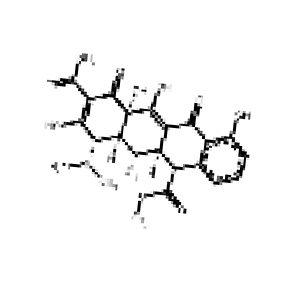 COC(=O)[C@@H]1c2cccc(O)c2C(=O)C2=C(O)[C@]3(O)C(=O)C(C(N)=O)=C(O)[C@@H](N(C)C)[C@@H]3[C@@H](O)[C@@H]21